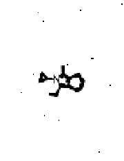 CCc1c2ccccc2c(C)n1C1CC1